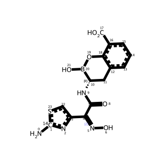 N[14c]1nc(/C(=N/O)C(=O)N[C@H]2Cc3cccc(C(=O)O)c3OB2O)cs1